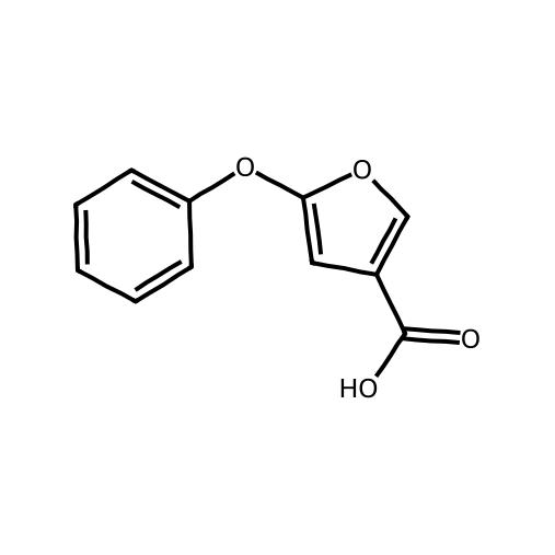 O=C(O)c1coc(Oc2ccccc2)c1